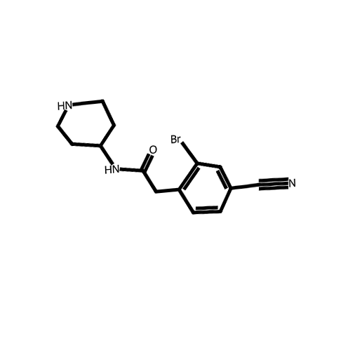 N#Cc1ccc(CC(=O)NC2CCNCC2)c(Br)c1